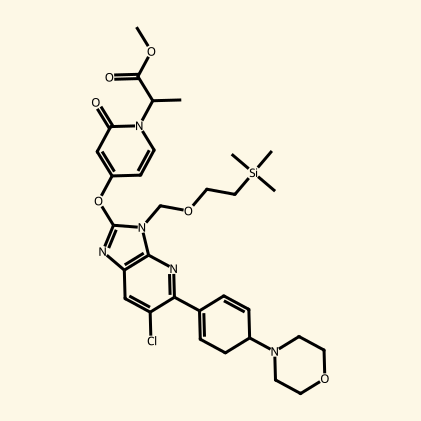 COC(=O)C(C)n1ccc(Oc2nc3cc(Cl)c(C4=CCC(N5CCOCC5)C=C4)nc3n2COCC[Si](C)(C)C)cc1=O